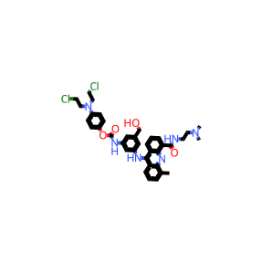 Cc1cccc2c(Nc3cc(CO)cc(NC(=O)Oc4ccc(N(CCCl)CCCl)cc4)c3)c3cccc(C(=O)NCCN(C)C)c3nc12